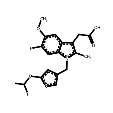 COc1cc2c(CC(=O)O)c(C)n(Cc3csc(OC(F)F)c3)c2cc1F